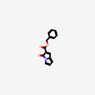 O=C(OCc1ccccc1)C1=Cc2cccn2C1=O